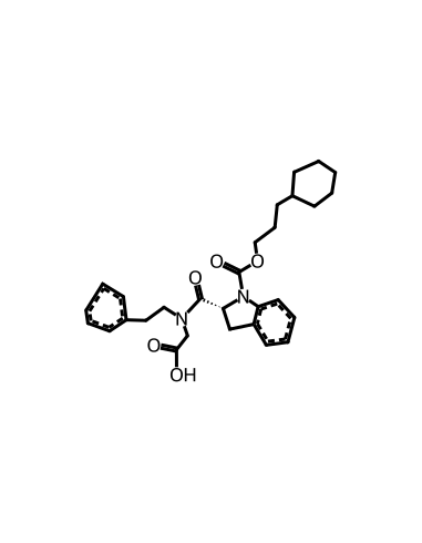 O=C(O)CN(CCc1ccccc1)C(=O)[C@H]1Cc2ccccc2N1C(=O)OCCCC1CCCCC1